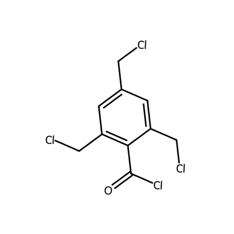 O=C(Cl)c1c(CCl)cc(CCl)cc1CCl